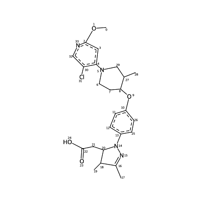 COc1cc(N2CCC(Oc3ccc(N4N=C(C)C(C)C4CC(=O)O)cc3)C(C)C2)c(Cl)cn1